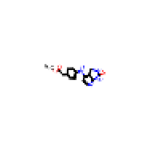 COC(=O)Cc1ccc(Nc2ccnc3c2CNC(=O)N3)cc1